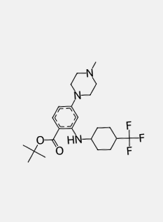 CN1CCN(c2ccc(C(=O)OC(C)(C)C)c(NC3CCC(C(F)(F)F)CC3)c2)CC1